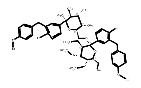 CCOc1ccc(Cc2cc([C@@]3(OC[C@H]4O[C@@](OC)(c5ccc(Cl)c(Cc6ccc(OCC)cc6)c5)[C@@H](OC(C)=O)[C@H](OC(C)=O)[C@@H]4OC(C)=O)O[C@@H](COC(C)=O)[C@H](CC(=O)O)[C@H](CC(=O)O)[C@H]3CC(=O)O)ccc2Cl)cc1